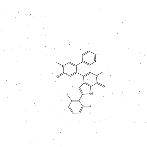 Cn1cc(-c2ccccc2)c(-c2cn(C)c(=O)c3[nH]c(-c4c(F)cccc4F)cc23)cc1=O